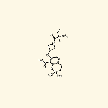 CC[C@](C)(N)C(=O)N1CC(Oc2ccc3c(c2C(=O)O)O[B-](O)(O)CC3)C1